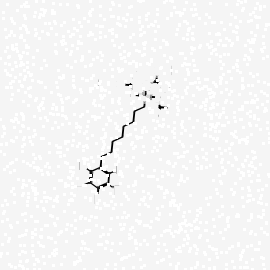 CC(=O)O[Si](CCCCCCCCc1c(F)c(F)c(F)c(F)c1F)(OC(C)=O)OC(C)=O